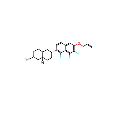 C=CCOc1cc2ccc([C@@H]3CC[C@@H]4CC(CCC)CCC4C3)c(F)c2c(F)c1F